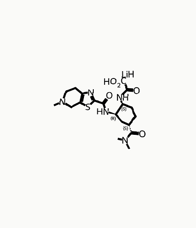 CN1CCc2nc(C(=O)N[C@@H]3C[C@@H](C(=O)N(C)C)CC[C@@H]3NC(=O)C(=O)O)sc2C1.[LiH]